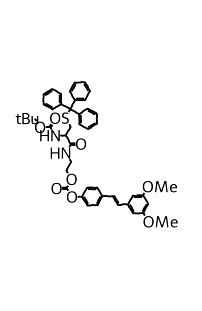 COc1cc(C=Cc2ccc(OC(=O)OCCNC(=O)C(CSC(c3ccccc3)(c3ccccc3)c3ccccc3)NC(=O)OC(C)(C)C)cc2)cc(OC)c1